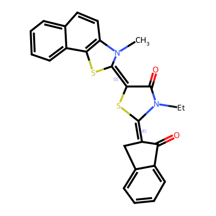 CCn1c(=O)/c(=C2/Sc3c(ccc4ccccc34)N2C)s/c1=C1\Cc2ccccc2C1=O